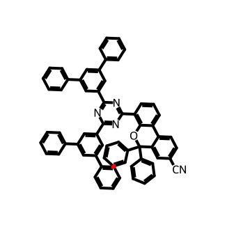 N#Cc1ccc2c(c1)C(c1ccccc1)(c1ccccc1)Oc1c(-c3nc(-c4cc(-c5ccccc5)cc(-c5ccccc5)c4)nc(-c4cc(-c5ccccc5)cc(-c5ccccc5)c4)n3)cccc1-2